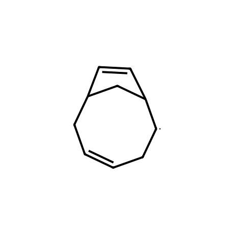 [CH]1CC=CCC2C=CC1C2